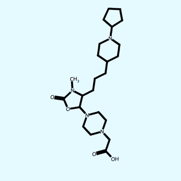 CN1C(=O)OC(N2CCN(CC(=O)O)CC2)C1CCCC1CCN(C2CCCC2)CC1